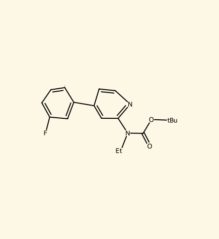 CCN(C(=O)OC(C)(C)C)c1cc(-c2[c]ccc(F)c2)ccn1